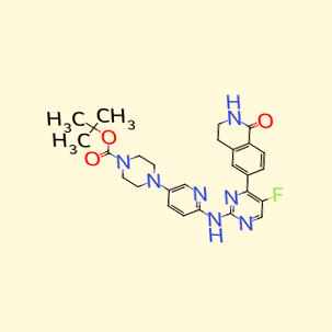 CC(C)(C)OC(=O)N1CCN(c2ccc(Nc3ncc(F)c(-c4ccc5c(c4)CCNC5=O)n3)nc2)CC1